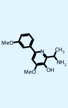 COc1cccc(-c2cc(OC)c(O)c(C(C)N)n2)c1